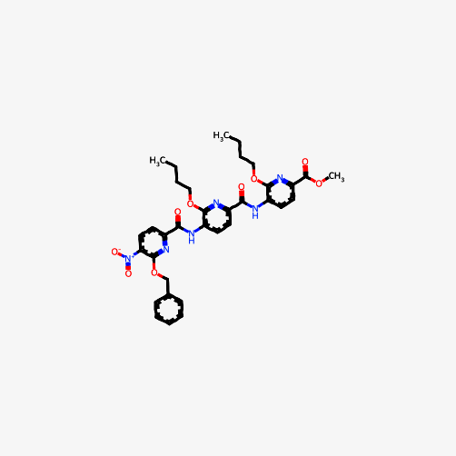 CCCCOc1nc(C(=O)Nc2ccc(C(=O)OC)nc2OCCCC)ccc1NC(=O)c1ccc([N+](=O)[O-])c(OCc2ccccc2)n1